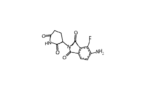 Nc1ccc2c(c1F)C(=O)N(C1CCC(=O)NC1=O)C2=O